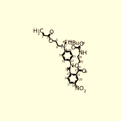 C=CC(=O)OCCN(CC)c1ccc(N=Nc2ccc([N+](=O)[O-])cc2C(=O)OCCNC(=O)OC(C)(C)C)cc1